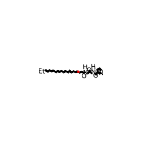 CCC=CCC=CCC=CCC=CCC=CCC=CCCC(=O)NCC(=O)CNC(=O)c1cccnc1